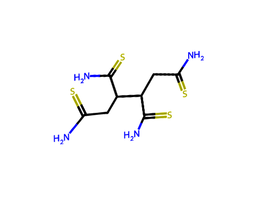 NC(=S)CC(C(N)=S)C(CC(N)=S)C(N)=S